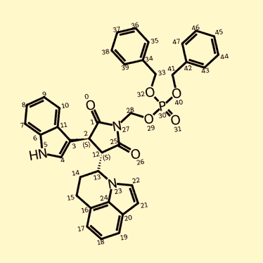 O=C1[C@H](c2c[nH]c3ccccc23)[C@@H](C2CCc3cccc4ccn2c34)C(=O)N1COP(=O)(OCc1ccccc1)OCc1ccccc1